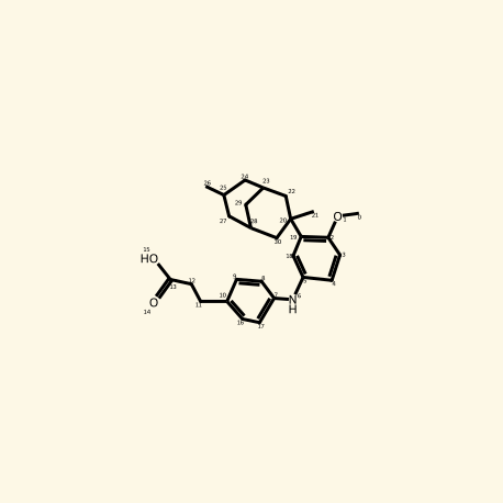 COc1ccc(Nc2ccc(CCC(=O)O)cc2)cc1C1(C)CC2CC(C)CC(C2)C1